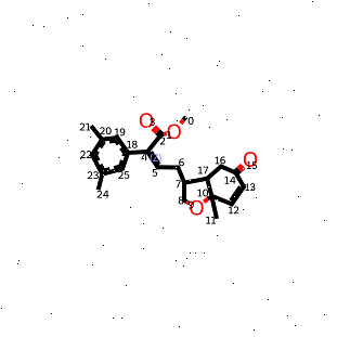 COC(=O)/C(=C\CC1COC2(C)C=CC(=O)CC12)c1cc(C)cc(C)c1